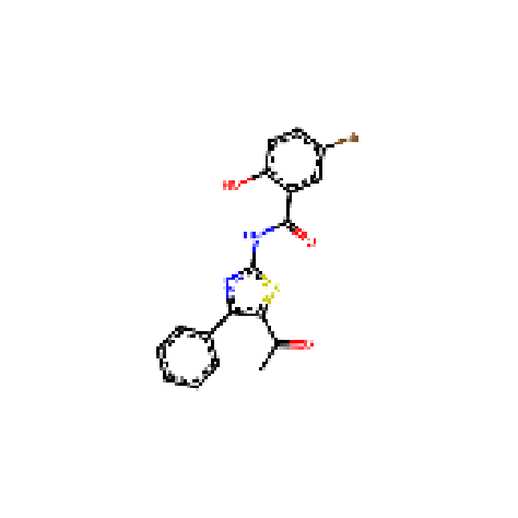 CC(=O)c1sc(NC(=O)c2cc(Br)ccc2O)nc1-c1ccccc1